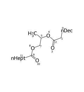 CCCCCCCCCCCC(=O)OC(C)COC(=O)CCCCCCC